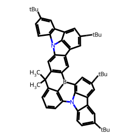 CC(C)(C)c1ccc2c(c1)c1cc(C(C)(C)C)cc3c1n2-c1cccc2c1B3c1cc3c4cc(C(C)(C)C)cc5c6cc(C(C)(C)C)ccc6n(c3cc1C2(C)C)c54